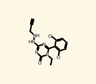 C#CCNNc1nc(-c2c(Cl)cccc2Cl)n(CC)c(=O)n1